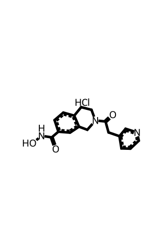 Cl.O=C(NO)c1ccc2c(c1)CN(C(=O)Cc1cccnc1)CC2